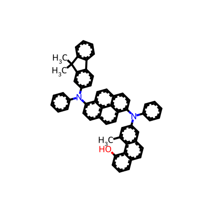 Cc1cc(N(c2ccccc2)c2ccc3ccc4c(N(c5ccccc5)c5ccc6c(c5)C(C)(C)c5ccccc5-6)ccc5ccc2c3c54)cc2ccc3cccc(O)c3c12